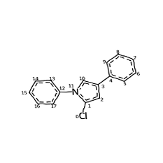 Clc1cc(-c2ccccc2)cn1-c1ccccc1